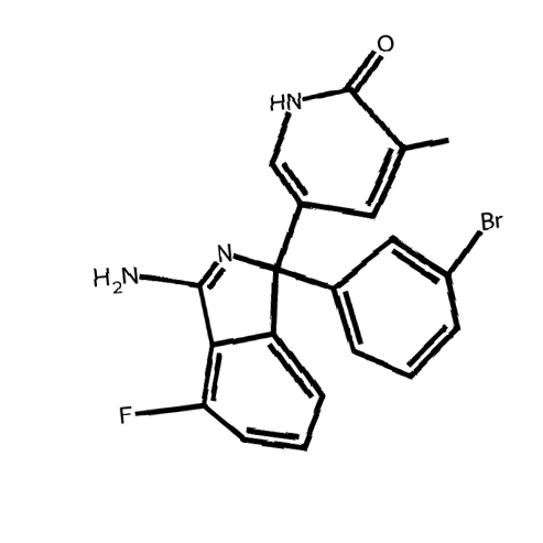 Cc1cc(C2(c3cccc(Br)c3)N=C(N)c3c(F)cccc32)c[nH]c1=O